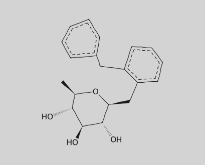 C[C@H]1O[C@@H](Cc2ccccc2Cc2ccccc2)[C@H](O)[C@@H](O)[C@@H]1O